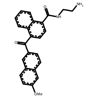 COc1ccc2cc(C(=O)c3ccc(C(=O)NCCN)c4ccccc34)ccc2c1